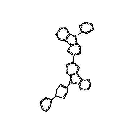 C1=CC(c2ccccc2)CC=C1n1c2ccccc2c2cc(-c3ccc4c(c3)c3ccccc3n4-c3ccccc3)ccc21